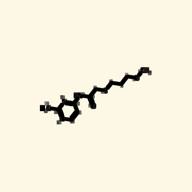 COCCCSCC(=O)Nc1ccnc(C)n1